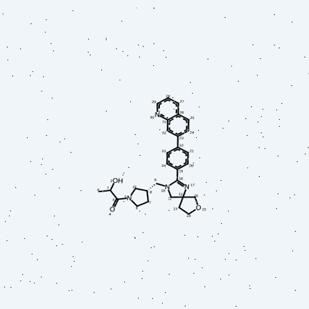 CC(O)C(=O)N1CC[C@@H](CN2CC3(CCOC3)N=C2c2ccc(-c3ccc4cccnc4c3)cc2)C1